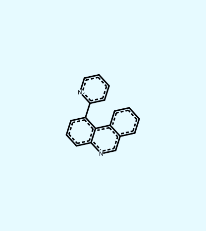 c1ccc(-c2cccc3ncc4ccccc4c23)nc1